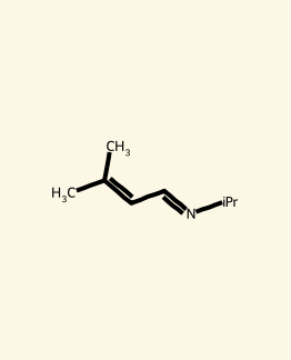 CC(C)=CC=NC(C)C